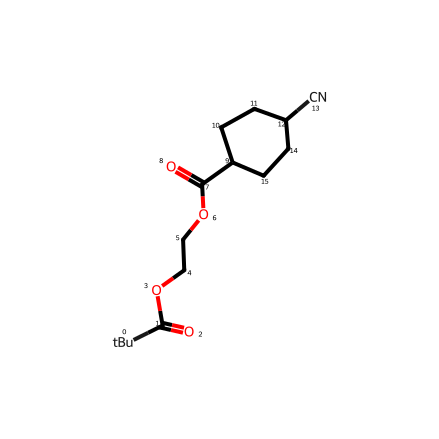 CC(C)(C)C(=O)OCCOC(=O)C1CCC(C#N)CC1